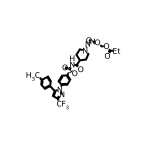 CCC(=O)OCOn1on1N1CCC(C(=O)NS(=O)(=O)c2ccc(-n3nc(C(F)(F)F)cc3-c3ccc(C)cc3)cc2)CC1